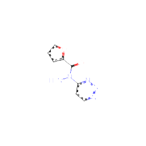 NN(C(=O)c1ccco1)c1ccnnn1